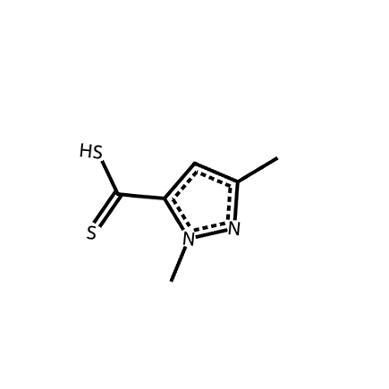 Cc1cc(C(=S)S)n(C)n1